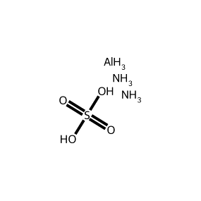 N.N.O=S(=O)(O)O.[AlH3]